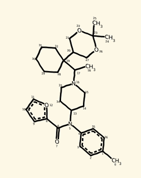 Cc1ccc(N(C(=O)c2ccco2)C2CCN(C(C)C3(C4COC(C)(C)OC4)CCCCC3)CC2)cc1